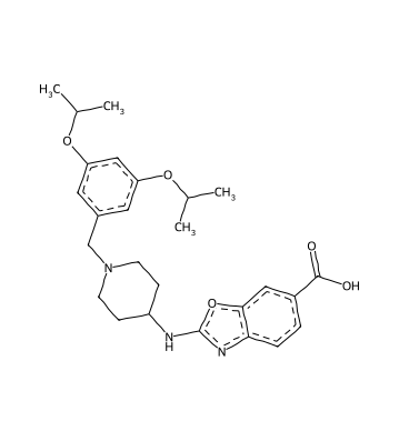 CC(C)Oc1cc(CN2CCC(Nc3nc4ccc(C(=O)O)cc4o3)CC2)cc(OC(C)C)c1